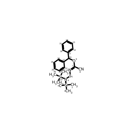 C[Si](C)(C)N(SN=C(C#N)OC(c1ccccc1)c1ccccc1)[Si](C)(C)C